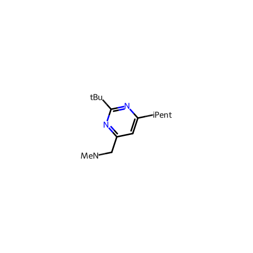 CCCC(C)c1cc(CNC)nc(C(C)(C)C)n1